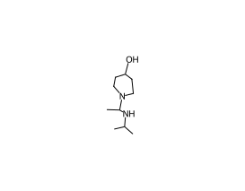 CC(C)NC(C)N1CCC(O)CC1